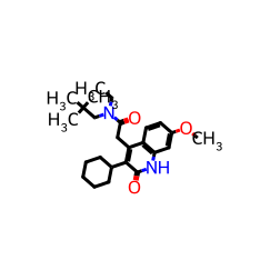 CCN(CC(C)(C)C)C(=O)Cc1c(C2CCCCC2)c(=O)[nH]c2cc(OC)ccc12